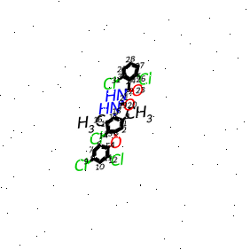 Cc1cc(Oc2ccc(Cl)cc2Cl)c(Cl)c(C)c1NC(=O)NC(=O)c1c(Cl)cccc1Cl